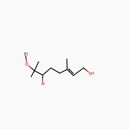 CCOC(C)(C)C(Br)CC/C(C)=C/CO